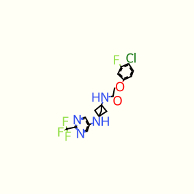 O=C(COc1ccc(Cl)c(F)c1)NC12CC(Nc3cnc(C(F)(F)F)nc3)(C1)C2